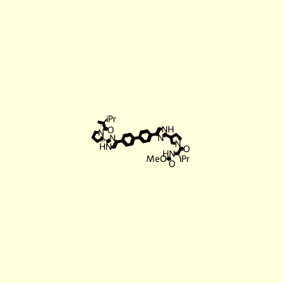 COC(=O)N[C@H](C(=O)N1CCC(c2nc(-c3ccc(-c4ccc(-c5c[nH]c([C@@H]6CCCN6C(=O)[C@@H](C)C(C)C)n5)cc4)cc3)c[nH]2)C1)C(C)C